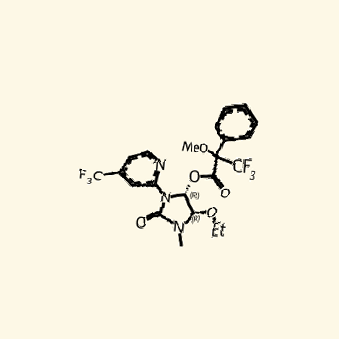 CCO[C@@H]1[C@@H](OC(=O)C(OC)(c2ccccc2)C(F)(F)F)N(c2cc(C(F)(F)F)ccn2)C(=O)N1C